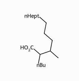 CCCCCCCCCCC(C)C(CCCC)C(=O)O